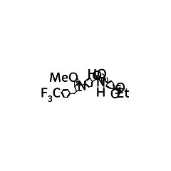 CCS(=O)(=O)c1ccc([C@H](CO)NC(=O)c2ccc(N3CC(Cc4ccc(C(F)(F)F)cc4)C[C@H]3COC)cc2)cc1